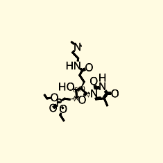 CCOP(=O)(CC[C@H]1O[C@@H](n2cc(C)c(=O)[nH]c2=O)[C@H](CCC(=O)NCCN(C)C)[C@@H]1O)OCC